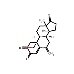 C#CC[C@]12CCC(=O)C=C1C(=C)C[C@@H]1[C@@H]2CC[C@]2(C)C(=O)CC[C@@H]12